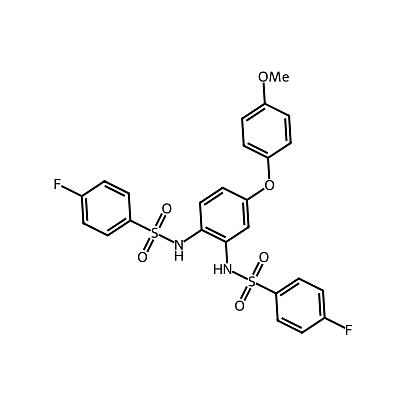 COc1ccc(Oc2ccc(NS(=O)(=O)c3ccc(F)cc3)c(NS(=O)(=O)c3ccc(F)cc3)c2)cc1